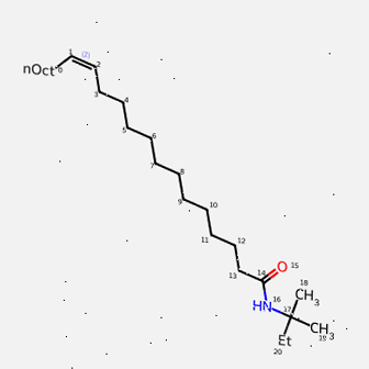 CCCCCCCC/C=C\CCCCCCCCCCCC(=O)NC(C)(C)CC